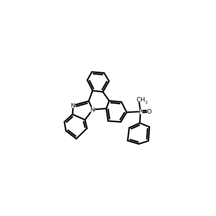 CP(=O)(c1ccccc1)c1ccc2c(c1)c1ccccc1c1nc3ccccc3n21